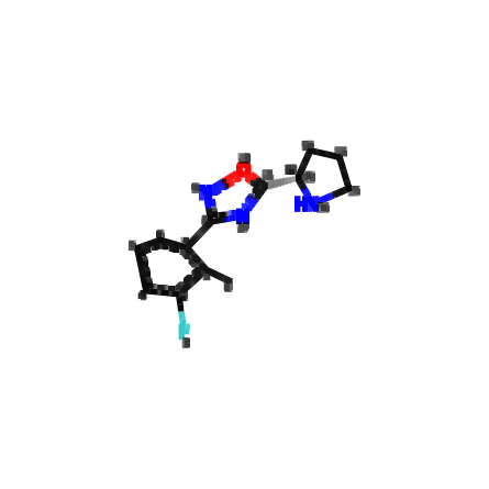 Cc1c(F)cccc1-c1noc([C@@H]2CCCN2)n1